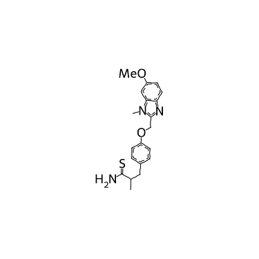 COc1ccc2nc(COc3ccc(CC(C)C(N)=S)cc3)n(C)c2c1